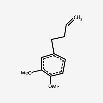 C=CC[CH]c1ccc(OC)c(OC)c1